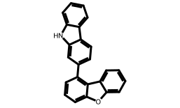 c1ccc2c(c1)[nH]c1cc(-c3cccc4oc5ccccc5c34)ccc12